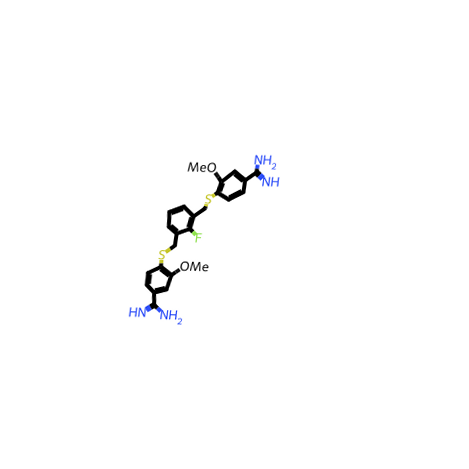 COc1cc(C(=N)N)ccc1SCc1cccc(CSc2ccc(C(=N)N)cc2OC)c1F